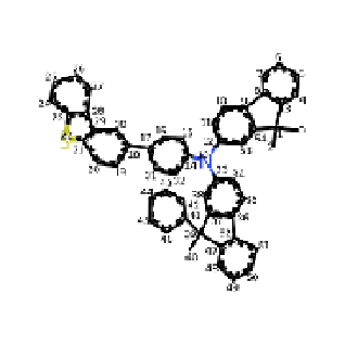 CC1(C)c2ccccc2-c2ccc(N(c3ccc(-c4ccc5sc6ccccc6c5c4)cc3)c3ccc4c(c3)C(C)(c3ccccc3)c3ccccc3-4)cc21